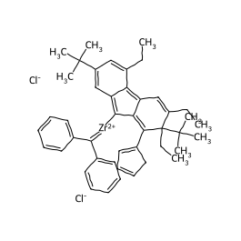 CCC1=CC2=c3c(CC)cc(C(C)(C)C)cc3=[C]([Zr+2]=[C](c3ccccc3)c3ccccc3)C2=C(C2=CC=CC2)C1(CC)C(C)(C)C.[Cl-].[Cl-]